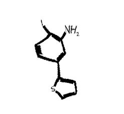 Nc1cc(-c2cccs2)ccc1I